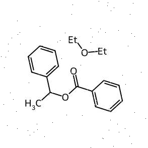 CC(OC(=O)c1ccccc1)c1ccccc1.CCOCC